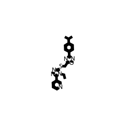 CCn1c(SCc2nc(-c3ccc(C(C)C)cc3)no2)nnc1-c1cccnc1